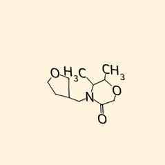 CC1OCC(=O)N(CC2CCOC2)C1C